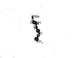 COCCOc1cc2[nH]nc(-c3cc(-c4ccc(C(=O)N5CC(c6ccnc(C)n6)C5)cc4)no3)c2cc1F